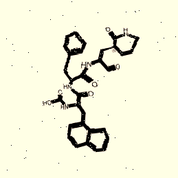 O=CC(C[C@@H]1CCCNC1=O)NC(=O)C(Cc1ccccc1)NC(=O)C(Cc1cccc2ccccc12)NC(=O)O